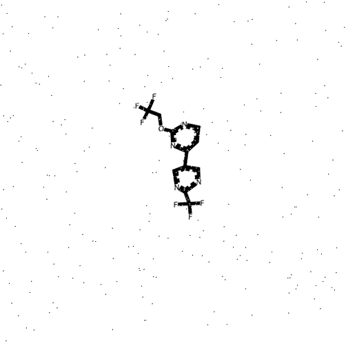 FC(F)(F)COc1n[c]cc(-c2cnc(C(F)(F)F)nc2)n1